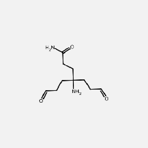 NC(=O)CCC(N)(CCC=O)CCC=O